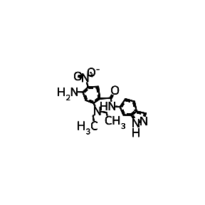 CCN(CC)c1cc(N)c([N+](=O)[O-])cc1C(=O)Nc1ccc2cn[nH]c2c1